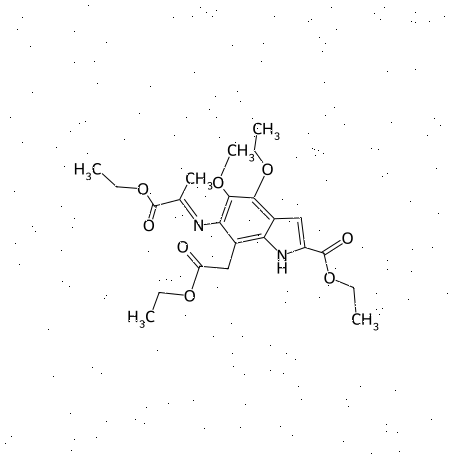 CCOC(=O)Cc1c(/N=C(\C)C(=O)OCC)c(OC)c(OCC)c2cc(C(=O)OCC)[nH]c12